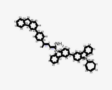 C/C(=C\C=C(/N)n1c2ccccc2c2cc(-c3ccc4c(c3)c3ccccc3n4C3=CCC=CC=C3)ccc21)c1ccc(-c2ccc3c(c2)-c2ccccc2C3)cc1